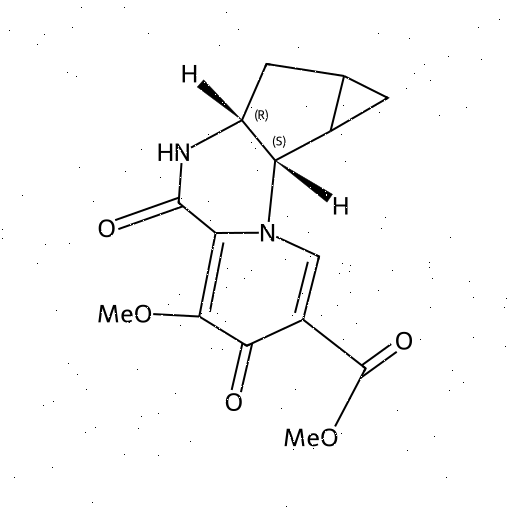 COC(=O)c1cn2c(c(OC)c1=O)C(=O)N[C@@H]1CC3CC3[C@@H]12